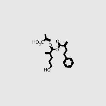 C=C(C)C(=O)O.C=C(CCCO)C(=O)OC(=O)C(=C)CCc1ccccc1